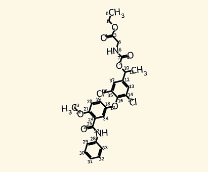 CCOC(=O)CNC(=O)OC(C)c1cc(Cl)c(Oc2ccc(OC)c(C(=O)Nc3ccccc3)c2)c(Cl)c1